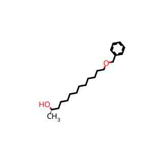 C[C@H](O)CCCCCCCCCCCOCc1ccccc1